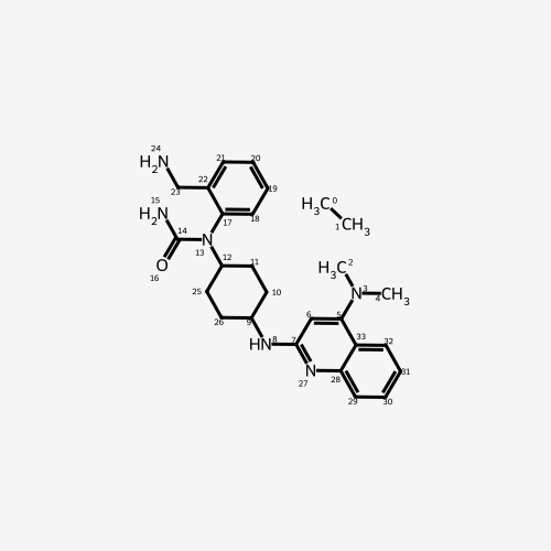 CC.CN(C)c1cc(NC2CCC(N(C(N)=O)c3ccccc3CN)CC2)nc2ccccc12